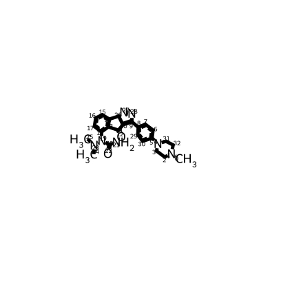 CN1CCN(c2ccc(C3=C4C(=O)c5c(cccc5N(C(N)=O)N(C)C)C4N=N3)cc2)CC1